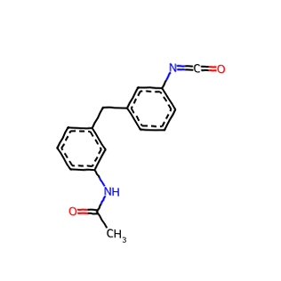 CC(=O)Nc1cccc(Cc2cccc(N=C=O)c2)c1